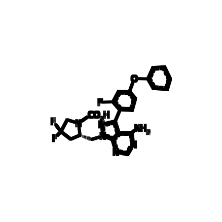 Nc1ncnc2c1c(-c1ccc(Oc3ccccc3)cc1F)nn2C[C@@H]1CC(F)(F)CN1C(=O)O